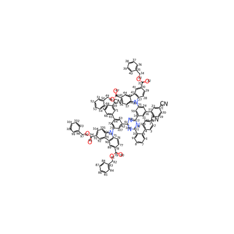 N#Cc1ccc(-c2ccccc2-c2nc(-c3cc(-c4cccc(C#N)c4)cc(-n4c5ccc(C(=O)OCc6ccccc6)cc5c5cc(C(=O)OCc6ccccc6)ccc54)c3)nc(-c3cc(-c4cccc(C#N)c4)cc(-n4c5ccc(C(=O)OCc6ccccc6)cc5c5cc(C(=O)OCc6ccccc6)ccc54)c3)n2)cc1